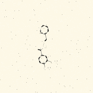 COc1ccc(C(=O)N/N=C/c2cccnc2)cc1OC